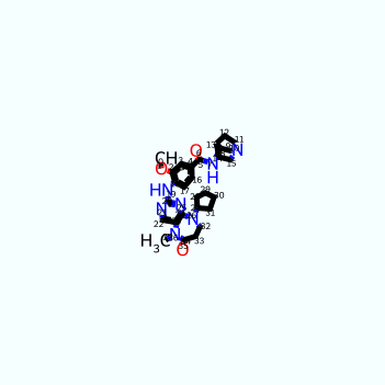 COc1cc(C(=O)NC2CN3CCC2CC3)ccc1Nc1ncc2c(n1)N(C1CCCC1)CCC(=O)N2C